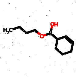 CCCCOB(O)C1C=CCCC1